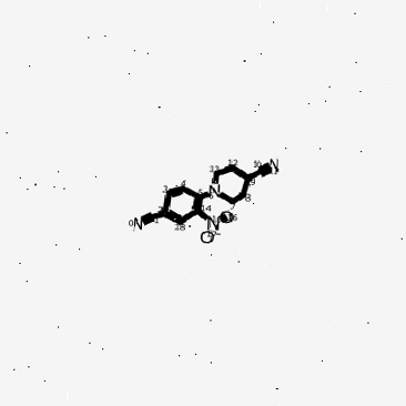 N#Cc1ccc(N2CCC(C#N)CC2)c([N+](=O)[O-])c1